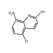 O=[N+]([O-])c1ccc(Cl)c2ccc(S)nc12